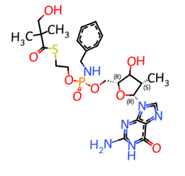 C[C@H]1C(O)[C@@H](COP(=O)(NCc2ccccc2)OCCSC(=O)C(C)(C)CO)O[C@H]1n1cnc2c(=O)[nH]c(N)nc21